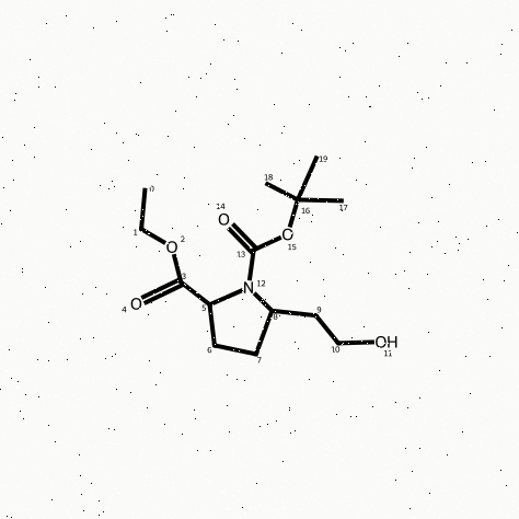 CCOC(=O)C1CCC(CCO)N1C(=O)OC(C)(C)C